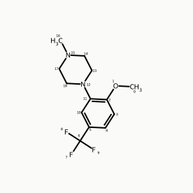 COc1ccc(C(F)(F)F)cc1N1CCN(C)CC1